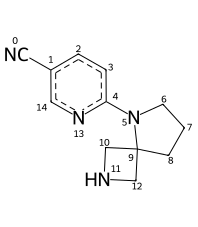 N#Cc1ccc(N2CCCC23CNC3)nc1